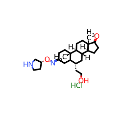 C[C@]12CCC(=NO[C@@H]3CCNC3)CC1[C@@H](CCO)C[C@@H]1[C@@H]2CC[C@]2(C)C(=O)CC[C@@H]12.Cl